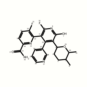 CC1CCC(c2c(O)nc(F)c(-c3nc(C(N)=O)ccc3F)c2-c2cccnc2)OC1C